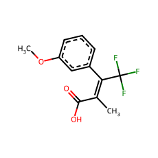 COc1cccc(C(=C(C)C(=O)O)C(F)(F)F)c1